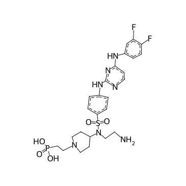 NCCN(C1CCN(CCP(=O)(O)O)CC1)S(=O)(=O)c1ccc(Nc2nccc(Nc3ccc(F)c(F)c3)n2)cc1